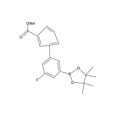 COC(=O)c1cccc(-c2cc(F)cc(B3OC(C)(C)C(C)(C)O3)c2)c1